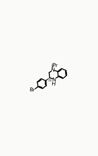 CC(C)N1C[C@H](c2ccc(Br)cc2)Nc2ccccc21